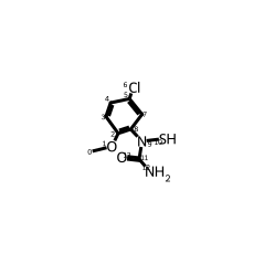 COc1ccc(Cl)cc1N(S)C(N)=O